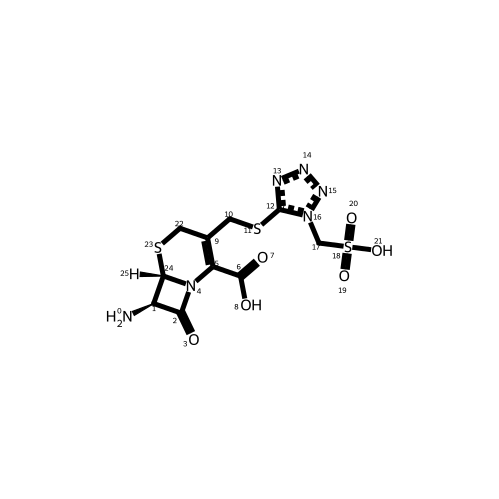 N[C@@H]1C(=O)N2C(C(=O)O)=C(CSc3nnnn3CS(=O)(=O)O)CS[C@@H]12